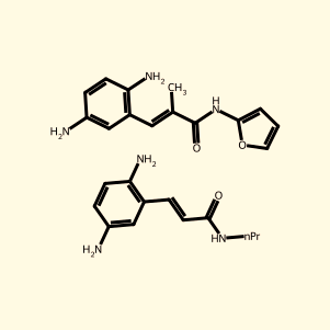 CC(=Cc1cc(N)ccc1N)C(=O)Nc1ccco1.CCCNC(=O)C=Cc1cc(N)ccc1N